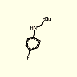 CC(C)(C)CNc1ccc(F)cc1